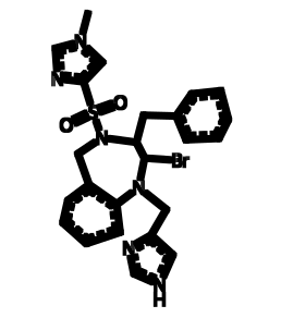 Cn1cnc(S(=O)(=O)N2Cc3ccccc3N(Cc3c[nH]cn3)C(Br)C2Cc2ccccc2)c1